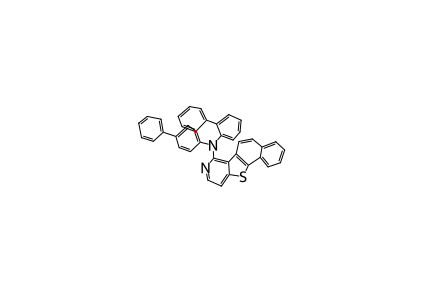 c1ccc(-c2ccc(N(c3ccccc3-c3ccccc3)c3nccc4sc5c6ccccc6ccc5c34)cc2)cc1